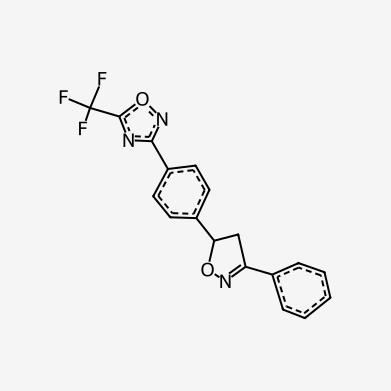 FC(F)(F)c1nc(-c2ccc(C3CC(c4ccccc4)=NO3)cc2)no1